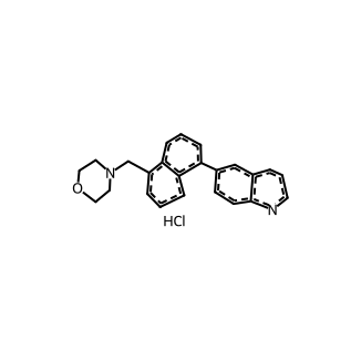 Cl.c1cnc2ccc(-c3cccc4c(CN5CCOCC5)cccc34)cc2c1